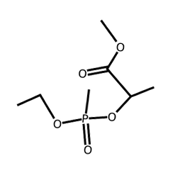 CCOP(C)(=O)OC(C)C(=O)OC